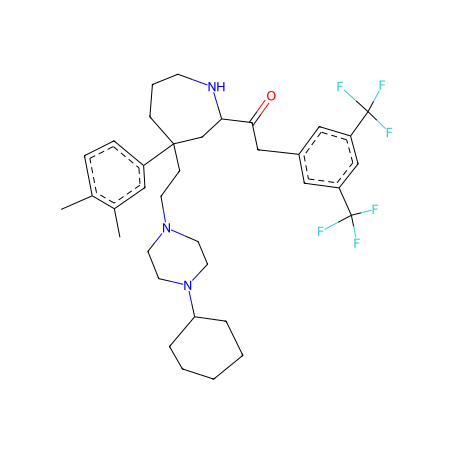 Cc1ccc(C2(CCN3CCN(C4CCCCC4)CC3)CCCNC(C(=O)Cc3cc(C(F)(F)F)cc(C(F)(F)F)c3)C2)cc1C